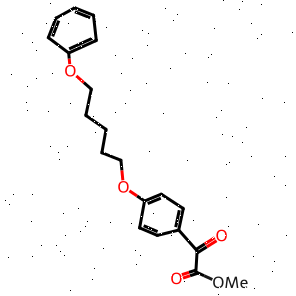 COC(=O)C(=O)c1ccc(OCCCCCOc2ccccc2)cc1